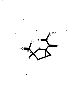 C=C(C(=O)OC)C12CC1CC(C)(C(=O)CC)C2